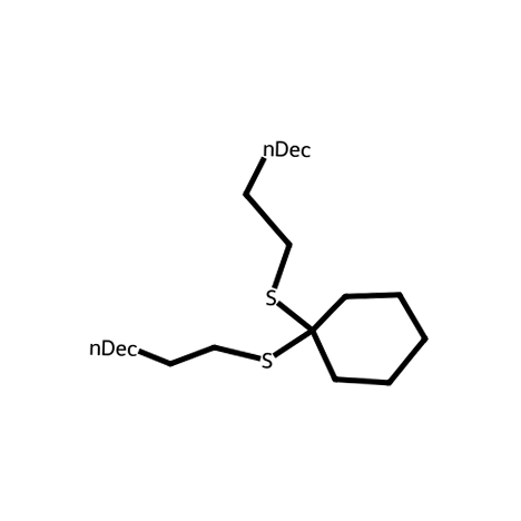 CCCCCCCCCCCCSC1(SCCCCCCCCCCCC)CCCCC1